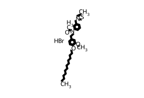 Br.CCCCCCCCCCCCCCOc1ccc(CCN(C(C)=O)c2cccc(CN3C=C(C)SC3)c2)cc1OC